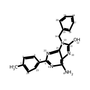 Cc1ccc(-c2nc(N)c3nc(O)n(Cc4ccccc4)c3n2)cc1